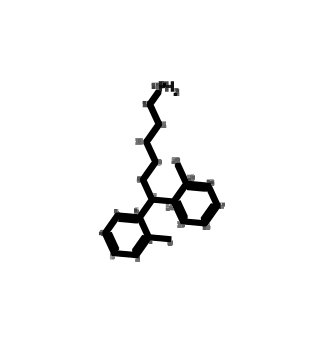 Cc1ccccc1C(CCCCCP)c1ccccc1C